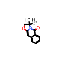 CC1(C)COc2cc3ccccc3c(=O)n21